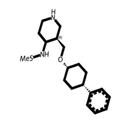 CSNC1CCNC[C@H]1CO[C@H]1CC[C@@H](c2ccccc2)CC1